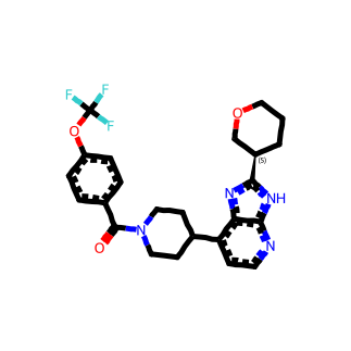 O=C(c1ccc(OC(F)(F)F)cc1)N1CCC(c2ccnc3[nH]c([C@@H]4CCCOC4)nc23)CC1